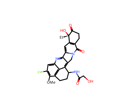 CC[C@@]1(O)C(=O)CCc2c1cc1n(c2=O)Cc2c-1nc1cc(F)c(OC)c3c1c2C(NC(=O)CO)CC3